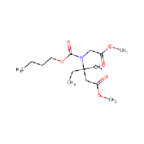 CCCCOC(=O)N(CC(=O)OC)C(C)(CC)CC(=O)OC